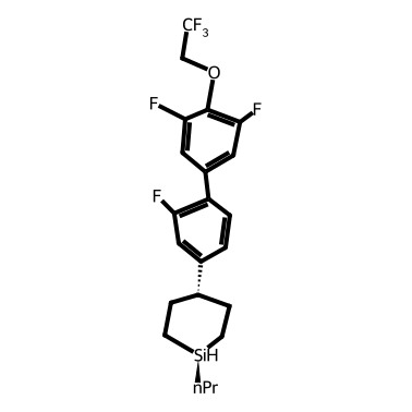 CCC[Si@H]1CC[C@H](c2ccc(-c3cc(F)c(OCC(F)(F)F)c(F)c3)c(F)c2)CC1